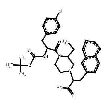 CCC1CN(C(Cc2ccc3ccccc3c2)C(=O)O)CCN1C(=O)C(Cc1ccc(Cl)cc1)NC(=O)OC(C)(C)C